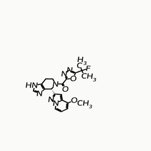 COc1cccn2nc([C@@H]3c4nc[nH]c4CCN3C(=O)c3nnc(C(C)(C)F)o3)cc12